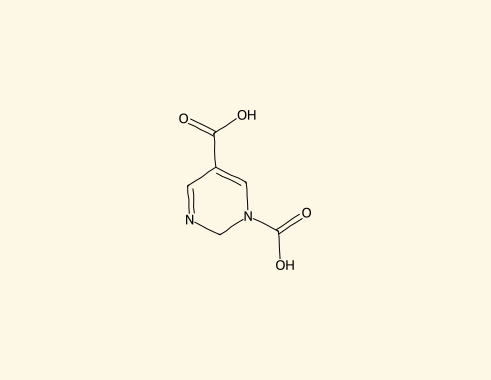 O=C(O)C1=CN(C(=O)O)CN=C1